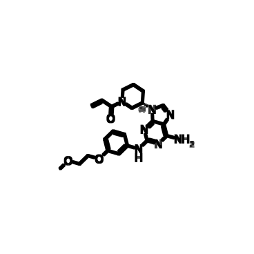 C=CC(=O)N1CCC[C@H](n2cnc3c(N)nc(Nc4cccc(OCCOC)c4)nc32)C1